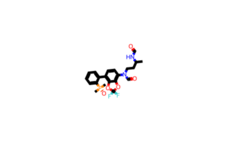 CC(CCN(C=O)c1ccc(-c2ccccc2P(C)(C)=O)c2c1OC(F)(F)O2)NC=O